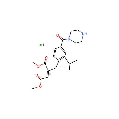 COC(=O)/C=C(/Cc1ccc(C(=O)N2CCNCC2)cc1C(C)C)C(=O)OC.Cl